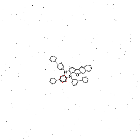 c1ccc(-c2ccc(N(c3ccccc3)c3ccc4c(oc5cc6ccccc6cc54)c3N(c3ccc(-c4ccccc4)cc3)c3cccc(-c4ccccc4)c3)cc2)cc1